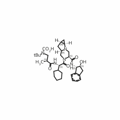 C[C@@H](CN(C(=O)O)C(C)(C)C)C(=O)N[C@H](C(=O)N1C[C@H]2C[C@H]3C[C@H]3N2C[C@H]1C(=O)N[C@H]1c2ccccc2C[C@@H]1O)C1CCCCC1